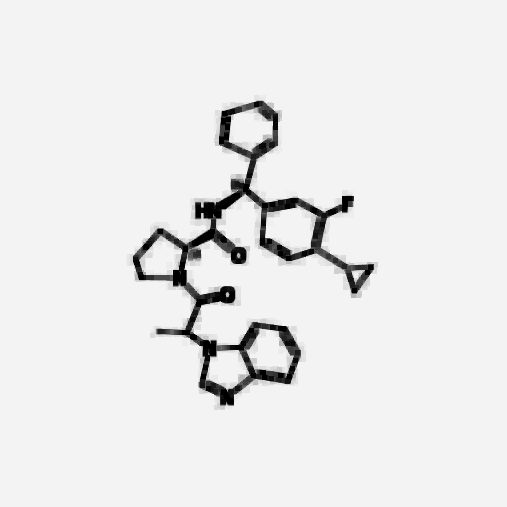 CC(C(=O)N1CCC[C@H]1C(=O)N[C@@H](c1ccccc1)c1ccc(C2CC2)c(F)c1)n1cnc2ccccc21